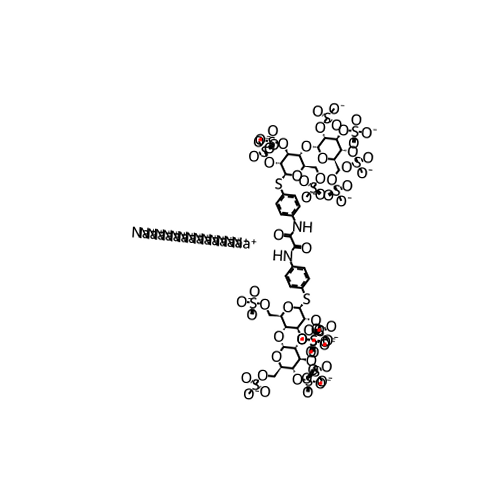 O=C(Nc1ccc(S[C@@H]2O[C@H](COS(=O)(=O)[O-])[C@@H](O[C@H]3O[C@H](COS(=O)(=O)[O-])[C@@H](OS(=O)(=O)[O-])[C@H](OS(=O)(=O)[O-])[C@H]3OS(=O)(=O)[O-])[C@H](OS(=O)(=O)[O-])[C@H]2OS(=O)(=O)[O-])cc1)C(=O)Nc1ccc(S[C@@H]2O[C@H](COS(=O)(=O)[O-])[C@@H](O[C@H]3O[C@H](COS(=O)(=O)[O-])[C@@H](OS(=O)(=O)[O-])[C@H](OS(=O)(=O)[O-])[C@H]3OS(=O)(=O)[O-])[C@H](OS(=O)(=O)[O-])[C@H]2OS(=O)(=O)[O-])cc1.[Na+].[Na+].[Na+].[Na+].[Na+].[Na+].[Na+].[Na+].[Na+].[Na+].[Na+].[Na+].[Na+].[Na+]